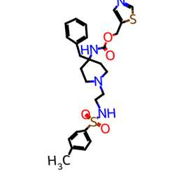 Cc1ccc(S(=O)(=O)NCCN2CCC(Cc3ccccc3)(NC(=O)OCc3cncs3)CC2)cc1